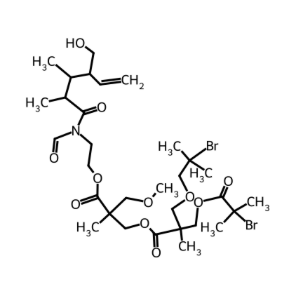 C=CC(CO)C(C)C(C)C(=O)N(C=O)CCOC(=O)C(C)(COC)COC(=O)C(C)(COCC(C)(C)Br)COC(=O)C(C)(C)Br